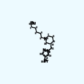 CCC(C)CCCCCN1CCC[C@@H](Cn2cc(C(C)C)cn2)C1